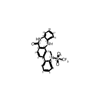 CN(c1ccccc1-c1ccc2c(c1)Nc1ccccc1NC2=O)S(=O)(=O)C(F)(F)F